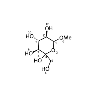 COC1OC(O)(CO)[C@@H](O)[C@H](O)[C@H]1O